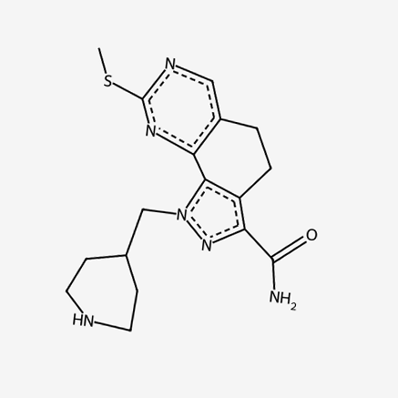 CSc1ncc2c(n1)-c1c(c(C(N)=O)nn1CC1CCNCC1)CC2